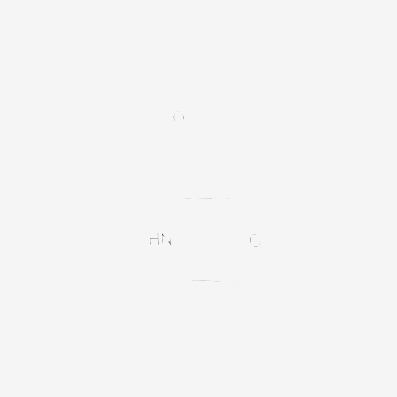 [O]CC1COCCN1